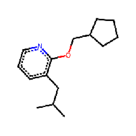 CC(C)Cc1cccnc1OCC1CCCC1